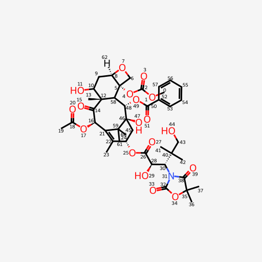 COC(=O)O[C@@]12CO[C@@H]1CC(O)[C@@]1(C)C(=O)[C@H](OC(C)=O)C3=C(C)[C@@H](OC(=O)[C@H](O)[C@@H](N4C(=O)OC(C)(C)C4=O)C(C)(C)CO)C[C@@](O)([C@@H](OC(=O)c4ccccc4)C12)C3(C)C